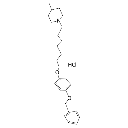 CC1CCN(CCCCCCCOc2ccc(OCc3ccccc3)cc2)CC1.Cl